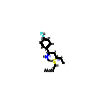 C/C=C(/C/C(=N\C)c1ccc(F)cc1)SCNC